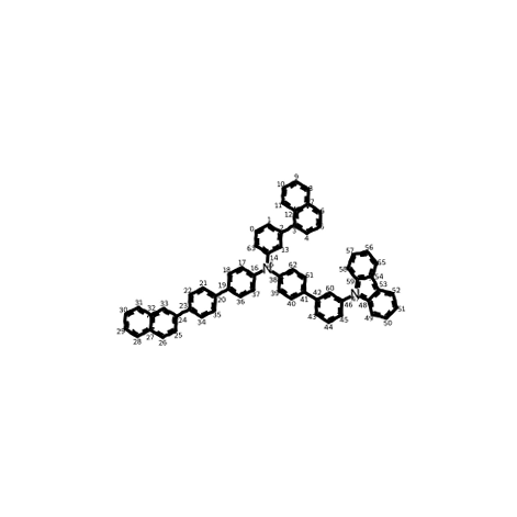 c1cc(-c2cccc3ccccc23)cc(N(c2ccc(-c3ccc(-c4ccc5ccccc5c4)cc3)cc2)c2ccc(-c3cccc(-n4c5ccccc5c5ccccc54)c3)cc2)c1